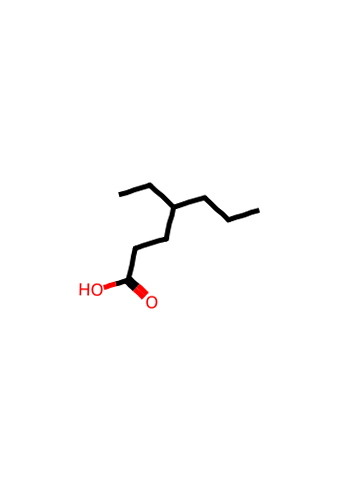 CCCC(CC)CCC(=O)O